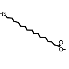 COC(=O)CCCCCCCCCCCCCCCS